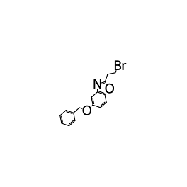 BrCCc1nc2cc(OCc3ccccc3)ccc2o1